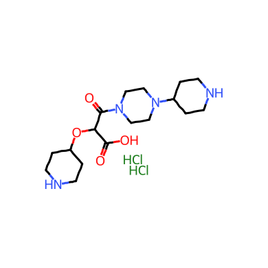 Cl.Cl.O=C(O)C(OC1CCNCC1)C(=O)N1CCN(C2CCNCC2)CC1